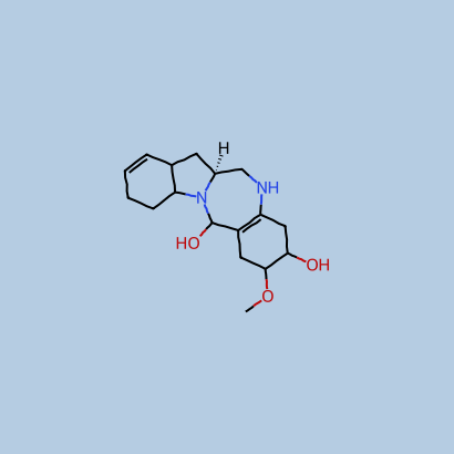 COC1CC2=C(CC1O)NC[C@@H]1CC3C=CCCC3N1C2O